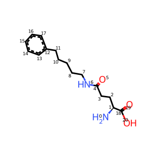 N[C@@H](CCC(=O)NCCCCCc1ccccc1)C(=O)O